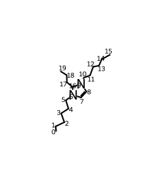 CCCCCCN1C=CN(CCCCCC)C1CCC